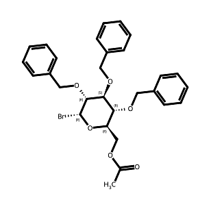 CC(=O)OC[C@H]1O[C@H](Br)[C@H](OCc2ccccc2)[C@@H](OCc2ccccc2)[C@@H]1OCc1ccccc1